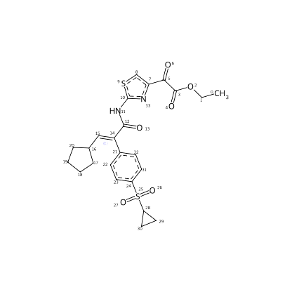 CCOC(=O)C(=O)c1csc(NC(=O)/C(=C/C2CCCC2)c2ccc(S(=O)(=O)C3CC3)cc2)n1